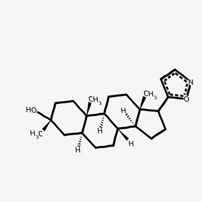 C[C@@]1(O)CC[C@@]2(C)[C@@H](CC[C@@H]3[C@@H]2CC[C@]2(C)C(c4ccno4)CC[C@@H]32)C1